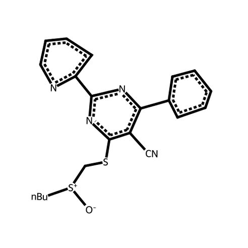 CCCC[S+]([O-])CSc1nc(-c2ccccn2)nc(-c2ccccc2)c1C#N